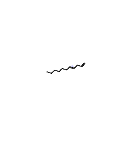 [CH2]CCCCC/C=C/CC=C